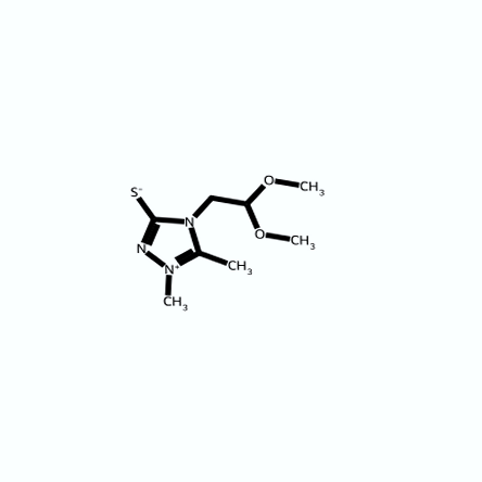 COC(Cn1c([S-])n[n+](C)c1C)OC